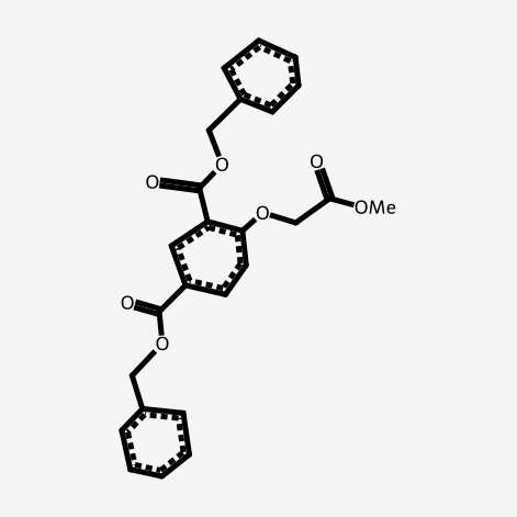 COC(=O)COc1ccc(C(=O)OCc2ccccc2)cc1C(=O)OCc1ccccc1